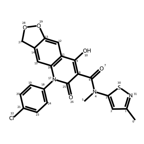 Cc1cc(N(C)C(=O)c2c(O)c3cc4c(cc3n(-c3ccc(Cl)cc3)c2=O)COO4)sn1